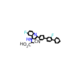 CC(Nc1c(C#N)c(-c2ccc(-c3ccc(-c4ccccc4)c(F)c3)cc2)nc2ccc(F)cc12)C(=O)O